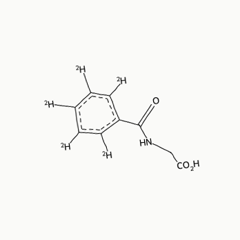 [2H]c1c([2H])c([2H])c(C(=O)NCC(=O)O)c([2H])c1[2H]